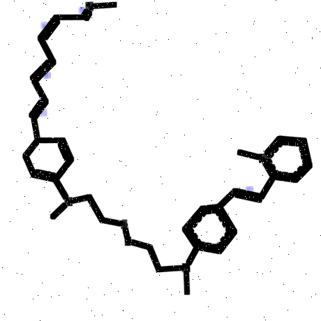 C/N=C/C=C\C=C\C=C\C1C=CC(N(C)CCSSCCN(C)c2ccc(/C=C/c3cccc[n+]3C)cc2)=CC1